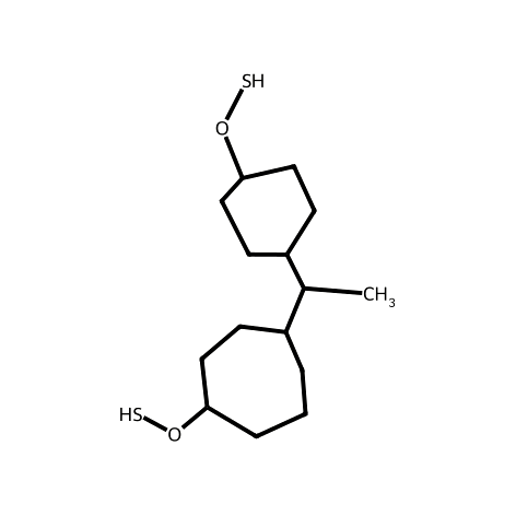 CC(C1CCCC(OS)CC1)C1CCC(OS)CC1